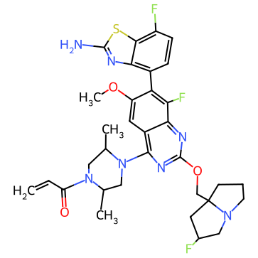 C=CC(=O)N1CC(C)N(c2nc(OCC34CCCN3CC(F)C4)nc3c(F)c(-c4ccc(F)c5sc(N)nc45)c(OC)cc23)CC1C